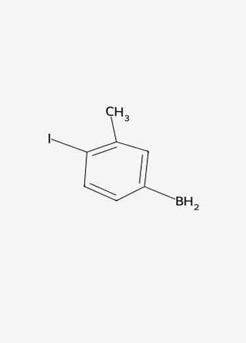 Bc1ccc(I)c(C)c1